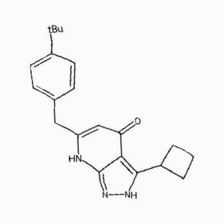 CC(C)(C)c1ccc(Cc2cc(=O)c3c(C4CCC4)[nH]nc3[nH]2)cc1